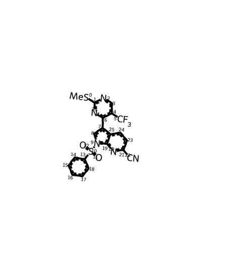 CSc1ncc(C(F)(F)F)c(-c2cn(S(=O)(=O)c3ccccc3)c3nc(C#N)ccc23)n1